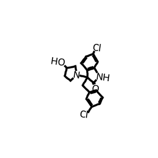 O=C1Nc2cc(Cl)ccc2C1(Cc1cccc(Cl)c1)N1CCC(O)C1